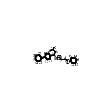 CC(C)C/C(=N\OCCOc1c[c]ccc1)c1ccc(-c2ccccc2)cc1